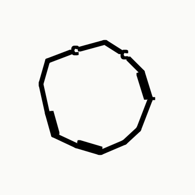 [C]1=CCCCCCC=CC=CCC1